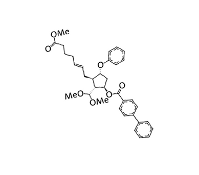 COC(=O)CCCC=CC[C@@H]1[C@@H](C(OC)OC)[C@H](OC(=O)c2ccc(-c3ccccc3)cc2)C[C@H]1Oc1ccccc1